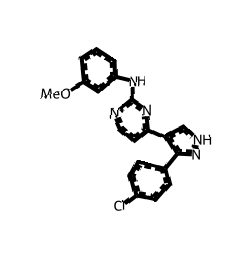 COc1cccc(Nc2nccc(-c3c[nH]nc3-c3ccc(Cl)cc3)n2)c1